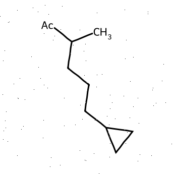 CC(=O)C(C)CCCC1CC1